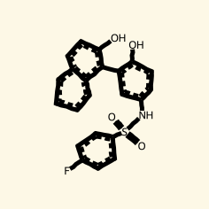 O=S(=O)(Nc1ccc(O)c(-c2c(O)ccc3ccccc23)c1)c1ccc(F)cc1